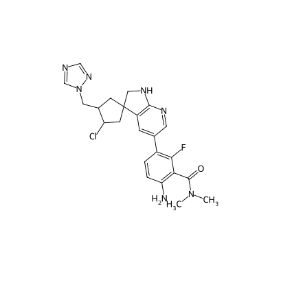 CN(C)C(=O)c1c(N)ccc(-c2cnc3c(c2)C2(CN3)CC(Cl)C(Cn3cncn3)C2)c1F